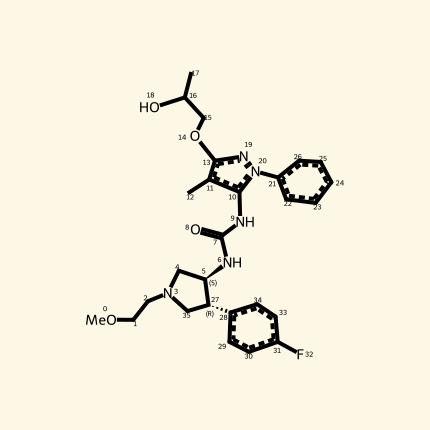 COCCN1C[C@@H](NC(=O)Nc2c(C)c(OCC(C)O)nn2-c2ccccc2)[C@H](c2ccc(F)cc2)C1